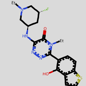 CCN1C[C@H](F)C[C@@H](Nc2nnc(-c3ccc4sccc4c3O)n(CC)c2=O)C1